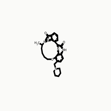 CC1CCCCOc2c(CN3CCCCC3)ccc3[nH]c(=O)c(nc23)-c2cccc3c(=O)n1[nH]c23